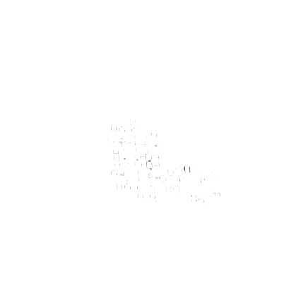 CC(C)(P(=O)(O)O)P(=O)(O)O.CC(C)(P(=O)(O)O)P(=O)(O)O.NC(P(=O)(O)O)P(=O)(O)O